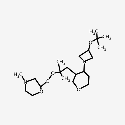 CN1CCOC(COC(C)(C)CC2COCCC2N2CC(OC(C)(C)C)C2)C1